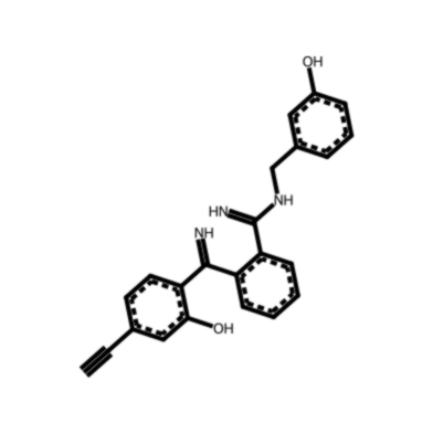 C#Cc1ccc(C(=N)c2ccccc2C(=N)NCc2cccc(O)c2)c(O)c1